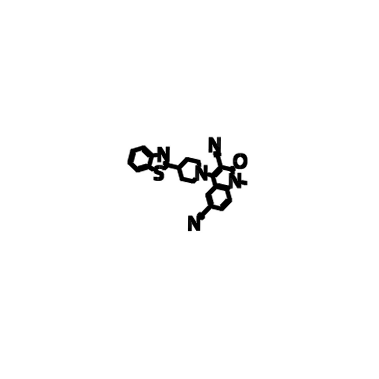 Cn1c(=O)c(C#N)c(N2CCC(c3nc4ccccc4s3)CC2)c2cc(C#N)ccc21